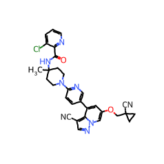 CC1(NC(=O)c2ncccc2Cl)CCN(c2ccc(-c3cc(OCC4(C#N)CC4)cn4ncc(C#N)c34)cn2)CC1